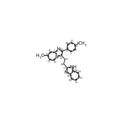 Cc1ccc(-c2nc3cc(C)ccn3c2CCc2nc3ccccc3[nH]2)cc1